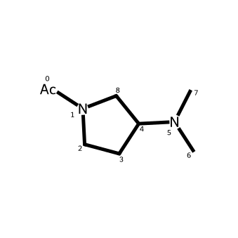 [CH2]C(=O)N1CCC(N(C)C)C1